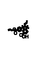 C=CCOC(=O)c1ccc(C2(C)c3cc(C(=O)O)ccc3C(C)(C)C2C=CC)cc1